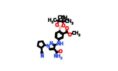 COC(=O)c1cc(Nc2nn(C3CCCC3C#N)cc2C(N)=O)ccc1B1OC(C)(C)C(C)(C)O1